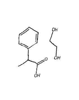 CC(C(=O)O)c1ccccc1.OCCO